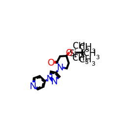 CC(C)(C)[Si](C)(C)OC1CCN(c2cnn(-c3ccncc3)c2)C(=O)C1